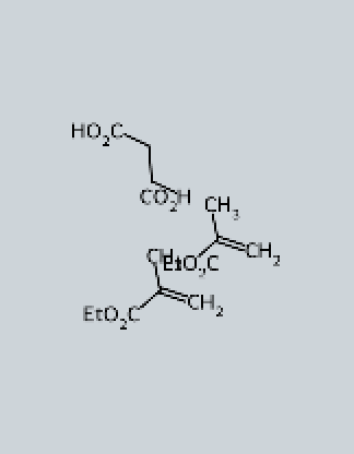 C=C(C)C(=O)OCC.C=C(C)C(=O)OCC.O=C(O)CCC(=O)O